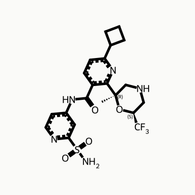 C[C@]1(c2nc(C3CCC3)ccc2C(=O)Nc2ccnc(S(N)(=O)=O)c2)CNC[C@@H](C(F)(F)F)O1